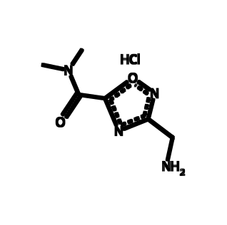 CN(C)C(=O)c1nc(CN)no1.Cl